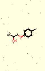 Cc1ccc(OCC(O)C#N)cc1